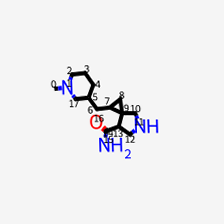 CN1CCCC(CC2CC23CNCC3C(N)=O)C1